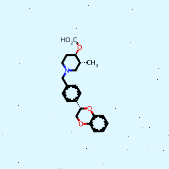 C[C@@H]1CN(Cc2ccc([C@H]3COc4ccccc4O3)cc2)CC[C@H]1OC(=O)O